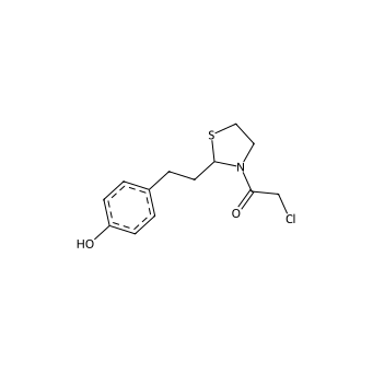 O=C(CCl)N1CCSC1CCc1ccc(O)cc1